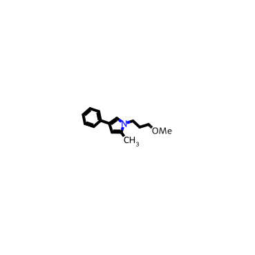 COCCCn1cc(-c2ccccc2)cc1C